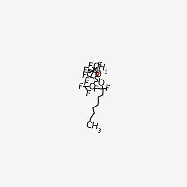 CCCCCCCC(F)(F)O[Si](OC(F)(F)F)(OC(F)(F)F)C(F)(F)C(C)(F)F